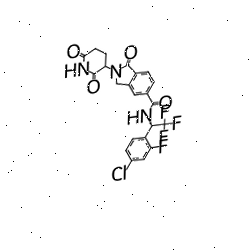 O=C1CCC(N2Cc3cc(C(=O)N[C@H](c4ccc(Cl)cc4F)C(F)(F)F)ccc3C2=O)C(=O)N1